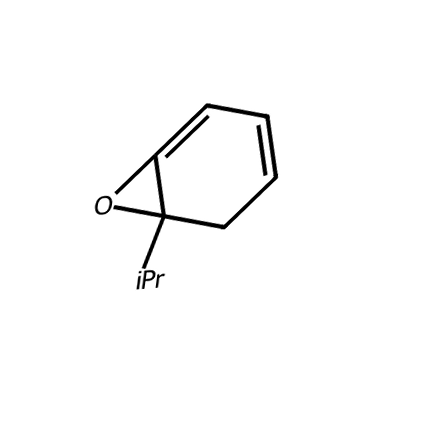 CC(C)C12CC=CC=C1O2